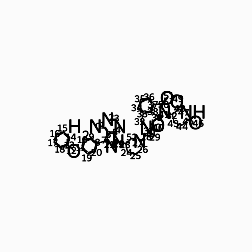 Nc1ncnc2c1c(-c1ccc(Oc3ccccc3)cc1)nn2C1CCCN(C2CCN2Cc2cccc3c2C(=O)N(C2CCC(=O)NC2=O)C3=O)C1